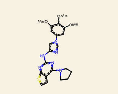 COc1cc(-n2cnc(Nc3nc(N4CCCC4)c4ccsc4n3)c2)cc(OC)c1OC